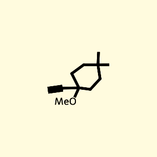 C#CC1(OC)CCC(C)(C)CC1